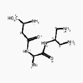 CCC(C)C(NC(=O)CC(N)C(=O)O)C(=O)NC(CN)CN